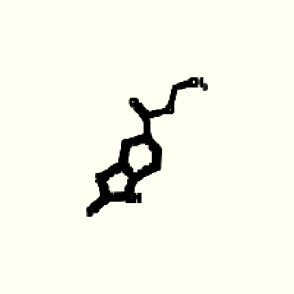 CCOC(=O)c1ccc2[nH]c(=S)sc2c1